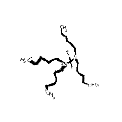 CCCCCN(CCCCC)C(F)(F)N(CCCCC)CCCCC